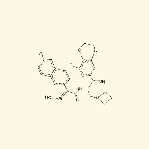 O=C(NC(CN1CCC1)C(O)c1cc(F)c2c(c1)OCCO2)/C(=N/O)c1ccc2cc(Cl)ccc2c1